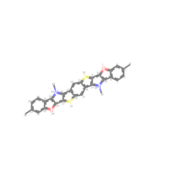 Cc1ccc2c(c1)oc1c3sc4cc5c(cc4c3n(C)c21)sc1c2oc3cc(C)ccc3c2n(C)c51